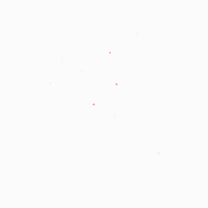 Cl.Cl.[CH2]=[Zr]([C]1=CC=CC1)([c]1ccccc1)([c]1cccc(Cl)c1)[c]1c2c(cc(C(C)(C)C)c1C(C)(C)C)-c1cc(C(C)(C)C)c(C(C)(C)C)cc1C2